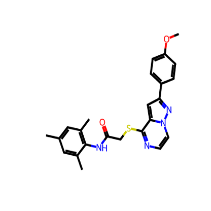 COc1ccc(-c2cc3c(SCC(=O)Nc4c(C)cc(C)cc4C)nccn3n2)cc1